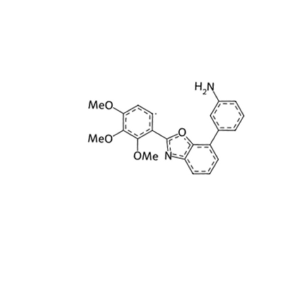 COc1c[c]c(-c2nc3cccc(-c4cccc(N)c4)c3o2)c(OC)c1OC